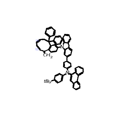 C=C1/C=C\C=C/CC(c2ccccc2)(c2ccccc2)c2cc(-n3c4ccccc4c4ccc(-c5ccc(N(c6ccc(C(C)(C)C)cc6)c6cc7ccccc7c7ccccc67)cc5)cc43)ccc21